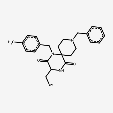 Cc1ccc(CN2C(=O)C(CC(C)C)NC(=O)C23CCN(Cc2ccccc2)CC3)cc1